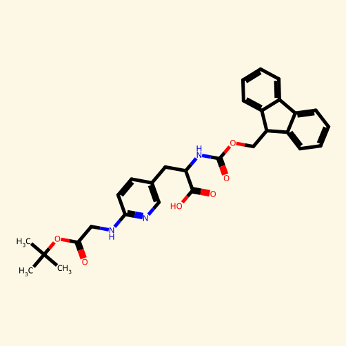 CC(C)(C)OC(=O)CNc1ccc(CC(NC(=O)OCC2c3ccccc3-c3ccccc32)C(=O)O)cn1